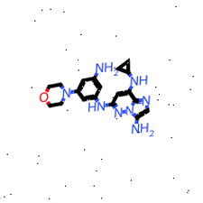 Nc1cc(Nc2cc(NC3CC3)c3ncc(N)n3n2)cc(N2CCOCC2)c1